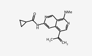 C=C(C)c1cnc(NC)c2cnc(NC(=O)C3CC3)cc12